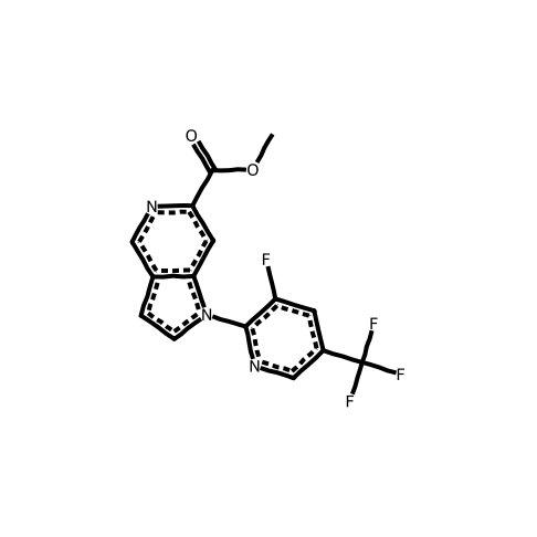 COC(=O)c1cc2c(ccn2-c2ncc(C(F)(F)F)cc2F)cn1